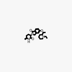 C=C1CCC(N2Cc3cc(OC(C)C4CCCCN4CC)ccc3C2=O)C(=O)N1